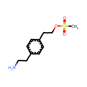 CS(=O)(=O)OCCc1ccc(CCN)cc1